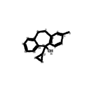 Cc1ccc2c(c1)CCc1ccccc1C2(O)C1CC1